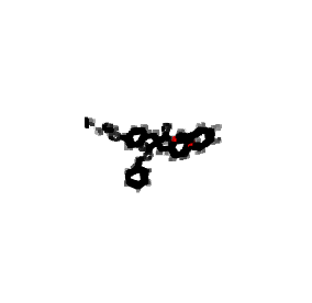 O=C(OCc1ccccc1)C(Cc1cc[c]cc1)(Cc1ccc(OC(F)(F)F)cc1)C(=O)OCc1ccccc1